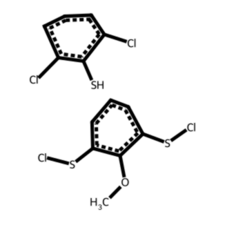 COc1c(SCl)cccc1SCl.Sc1c(Cl)cccc1Cl